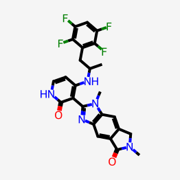 CC(Cc1c(F)c(F)cc(F)c1F)Nc1cc[nH]c(=O)c1-c1nc2cc3c(cc2n1C)CN(C)C3=O